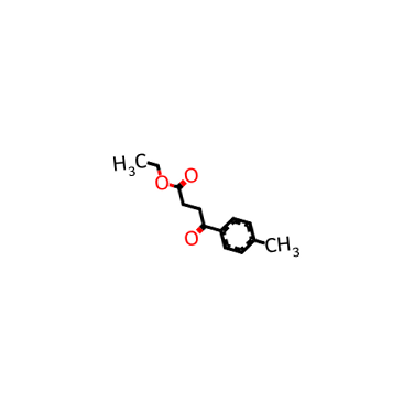 CCOC(=O)CCC(=O)c1ccc(C)cc1